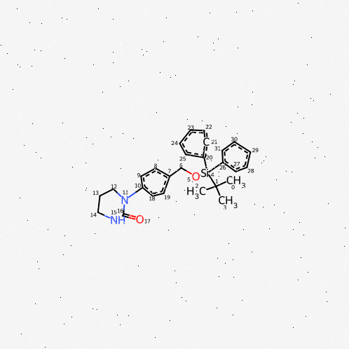 CC(C)(C)[Si](OCc1ccc(N2CCCNC2=O)cc1)(c1ccccc1)c1ccccc1